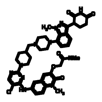 CNC(=O)COc1cc2cc(Nc3nc(N4CCC(CN5CCN(c6cccc7c(C8CCC(=O)NC8=O)nn(C)c67)CC5)CC4)ncc3Cl)ccc2n(C)c1=O